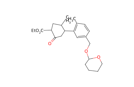 CCOC(=O)C1CC(C)C(c2cc(COC3CCCCO3)ccc2C)CC1=O